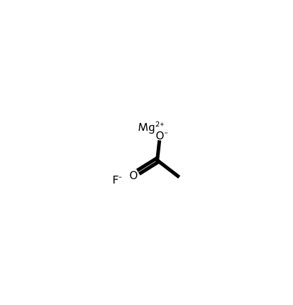 CC(=O)[O-].[F-].[Mg+2]